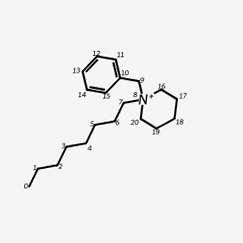 CCCCCCCC[N+]1(Cc2ccccc2)CCCCC1